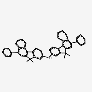 CC1(C)c2cc(Nc3ccc4c(c3)C(C)(C)c3cc(-c5ccccc5)c5ccccc5c3-4)ccc2-c2c1cc(-c1ccccc1)c1ccccc21